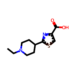 CCN1CCC(c2nc(C(=O)O)cs2)CC1